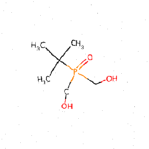 CC(C)(C)P(=O)(CO)CO